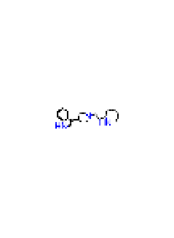 c1ccc2c(C3CCN(CCC4CCCCCN4)CC3)c[nH]c2c1